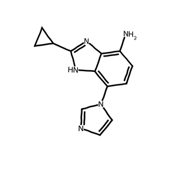 Nc1ccc(-n2ccnc2)c2[nH]c(C3CC3)nc12